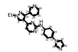 CCn1cc(-c2ccnc(NC3C=CC(n4ccnc4)=CC3)n2)c(-c2cccnc2)n1